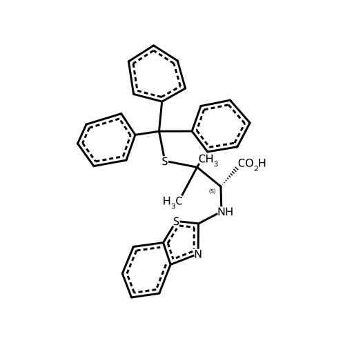 CC(C)(SC(c1ccccc1)(c1ccccc1)c1ccccc1)[C@@H](Nc1nc2ccccc2s1)C(=O)O